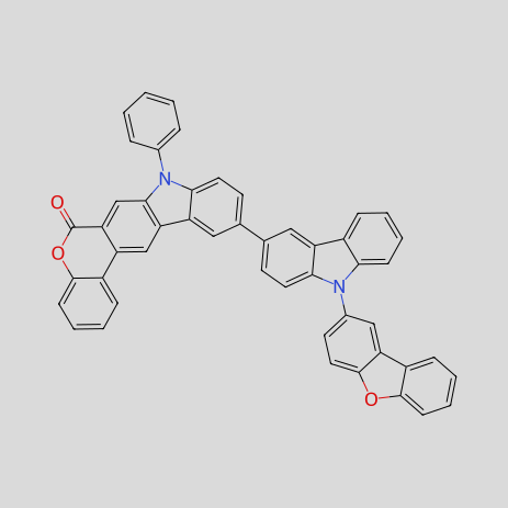 O=c1oc2ccccc2c2cc3c4cc(-c5ccc6c(c5)c5ccccc5n6-c5ccc6oc7ccccc7c6c5)ccc4n(-c4ccccc4)c3cc12